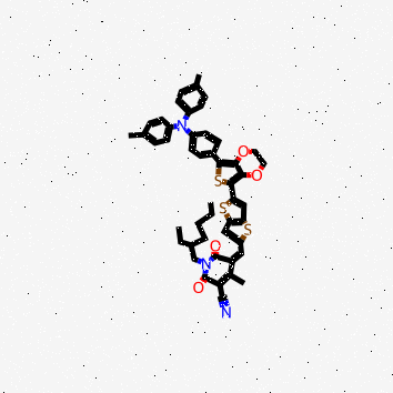 CCCCC(CC)CN1C(=O)C(=Cc2cc3sc(-c4sc(-c5ccc(N(c6ccc(C)cc6)c6ccc(C)cc6)cc5)c5c4OCCO5)cc3s2)C(C)=C(C#N)C1=O